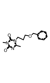 Cc1nc(=O)n(C)c(=O)n1CCCOCc1ccccc1